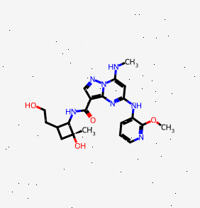 CNc1cc(Nc2cccnc2OC)nc2c(C(=O)NC3C(CCO)C[C@@]3(C)O)cnn12